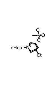 CCCCCCC[n+]1cccc(CC)c1.CS(=O)(=O)[O-]